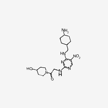 NC1CCC(CNc2nc(NCC(=O)N3CCC(O)CC3)ncc2[N+](=O)[O-])CC1